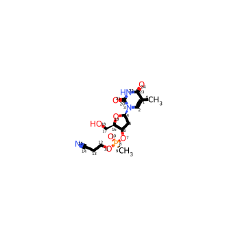 Cc1cn([C@H]2CC(OP(C)(=O)OCCC#N)[C@@H](CO)O2)c(=O)[nH]c1=O